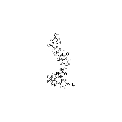 Nc1ccc(-c2[nH]nc(C(F)(F)F)c2-c2cnc(C(=O)NCc3ccc(C(=O)N4CCC5(CC4)CCN(C(=O)[C@@H]4C[C@@H](O)CN4)C5)c(Cl)c3)[nH]2)nc1